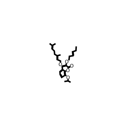 CCC=CCCOc1c(OC/C=C(\C)CCC=C(C)C)c2cccc(OC(C)C)c2oc1=O